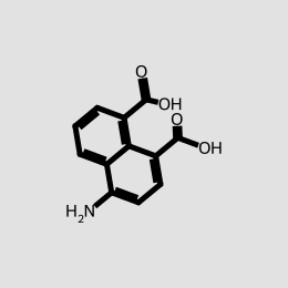 Nc1ccc(C(=O)O)c2c(C(=O)O)cccc12